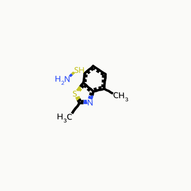 Cc1nc2c(C)cccc2s1.NS